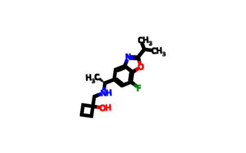 CC(C)c1nc2cc([C@@H](C)NCC3(O)CCC3)cc(F)c2o1